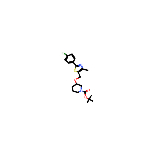 Cc1nc(-c2ccc(Cl)cc2)sc1COC1CCCN(C(=O)OC(C)(C)C)C1